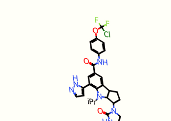 CC(C)N1c2c(-c3ccn[nH]3)cc(C(=O)Nc3ccc(OC(F)(F)Cl)cc3)cc2C2CCC(N3CCNC3=O)C21